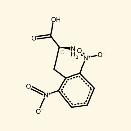 N[C@@H](Cc1c([N+](=O)[O-])cccc1[N+](=O)[O-])C(=O)O